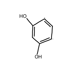 Oc1[c]c[c]c(O)c1